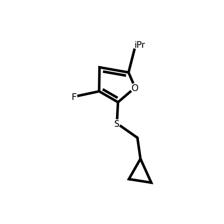 CC(C)c1cc(F)c(SCC2CC2)o1